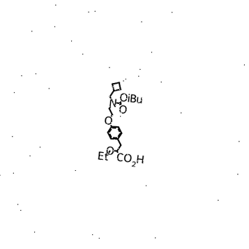 CCOC(Cc1ccc(OCCN(CC2CCC2)C(=O)OCC(C)C)cc1)C(=O)O